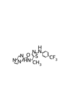 CC(NC(=O)c1cn2ccnc2cn1)c1cnc(Nc2ccc(C(F)(F)F)cc2)s1